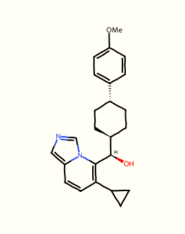 COc1ccc([C@H]2CC[C@H]([C@@H](O)c3c(C4CC4)ccc4cncn34)CC2)cc1